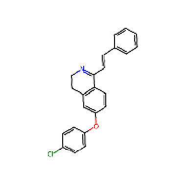 Clc1ccc(Oc2ccc3c(c2)CCN=C3C=Cc2ccccc2)cc1